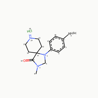 CC(=O)Nc1ccc(N2CN(C)C(=O)C23CCNCC3)cc1.Cl